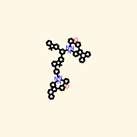 CC1(C)c2ccccc2-c2ccc(-c3cc(-c4ccc5c(c4)-c4cccc(-c6ccc(-c7nc(-c8ccccc8)nc(-c8cccc9oc%10ccc(-c%11ccc%12ccc%13ccccc%13c%12c%11)cc%10c89)n7)cc6)c4C5(C)C)cc(-c4nc(-c5ccccc5)nc(-c5cccc6oc7ccc(-c8ccc9c%10ccccc%10c%10ccccc%10c9c8)cc7c56)n4)c3)cc21